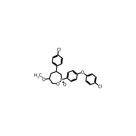 COC1COP(=O)(c2ccc(Oc3ccc(Cl)cc3)cc2)CC(c2ccc(Cl)cc2)C1